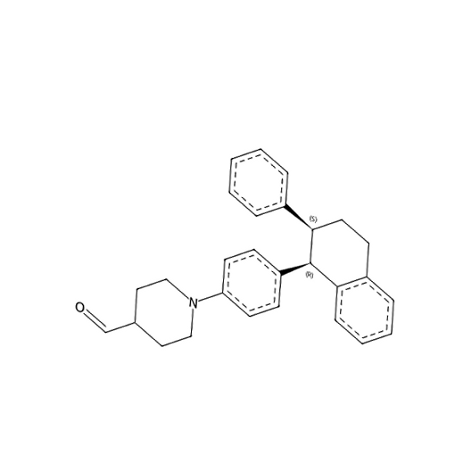 O=CC1CCN(c2ccc([C@@H]3c4ccccc4CC[C@@H]3c3ccccc3)cc2)CC1